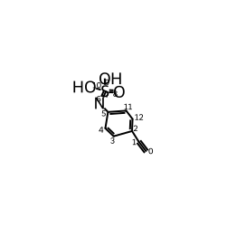 C#Cc1ccc(N=S(=O)(O)O)cc1